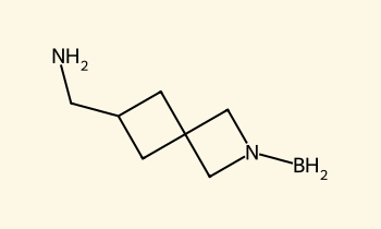 BN1CC2(CC(CN)C2)C1